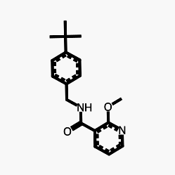 COc1ncccc1C(=O)NCc1ccc(C(C)(C)C)cc1